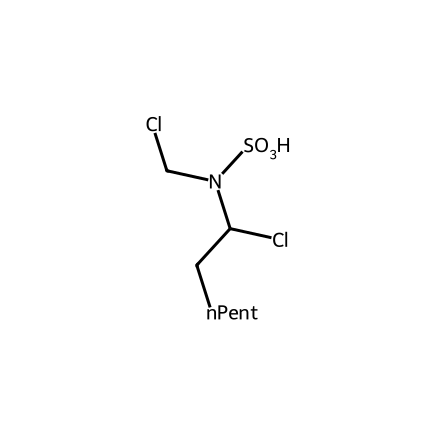 CCCCCCC(Cl)N(CCl)S(=O)(=O)O